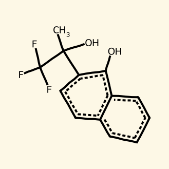 CC(O)(c1ccc2ccccc2c1O)C(F)(F)F